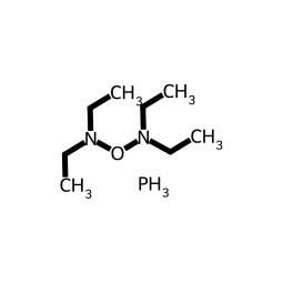 CCN(CC)ON(CC)CC.P